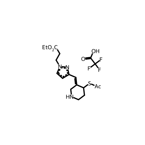 CCOC(=O)CCn1ccc(/C=C2\CNCCC2SC(C)=O)n1.O=C(O)C(F)(F)F